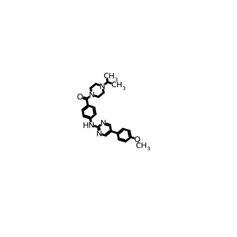 COc1ccc(-c2cnc(Nc3ccc(C(=O)N4CCN(C(C)C)CC4)cc3)nc2)cc1